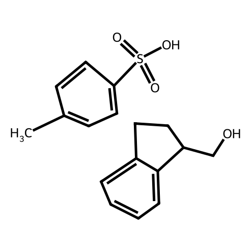 Cc1ccc(S(=O)(=O)O)cc1.OCC1CCc2ccccc21